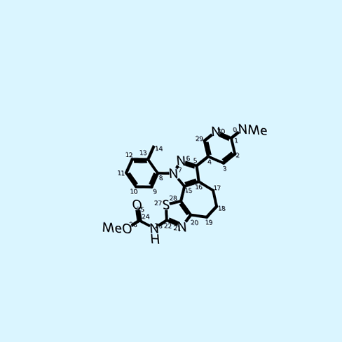 CNc1ccc(-c2nn(-c3ccccc3C)c3c2CCCc2nc(NC(=O)OC)sc2-3)cn1